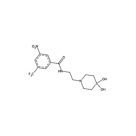 O=C(NCCN1CCS(O)(O)CC1)c1cc([N+](=O)[O-])cc(C(F)(F)F)c1